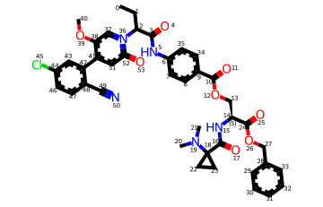 CCC(C(=O)Nc1ccc(C(=O)OC[C@H](NC(=O)C2(N(C)C)CC2)C(=O)OCc2ccccc2)cc1)n1cc(OC)c(-c2cc(Cl)ccc2C#N)cc1=O